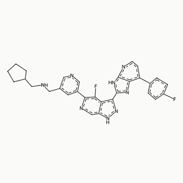 Fc1ccc(-c2ccnc3[nH]c(-c4n[nH]c5cnc(-c6cncc(CNCC7CCCC7)c6)c(F)c45)nc23)cc1